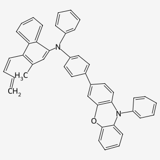 C=C/C=C\c1c(C)cc(N(c2ccccc2)c2ccc(-c3ccc4c(c3)Oc3ccccc3N4c3ccccc3)cc2)c2ccccc12